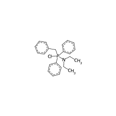 CCN(CC)P(Cl)(Cc1ccccc1)(c1ccccc1)c1ccccc1